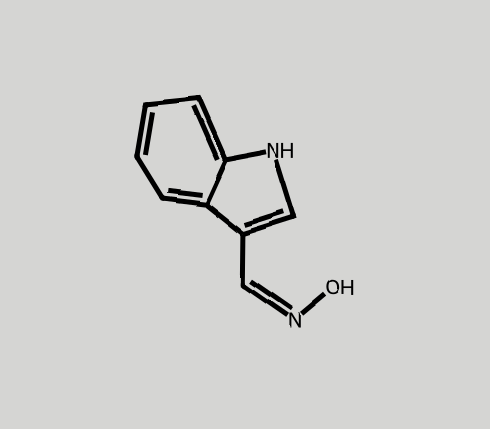 O/N=C\c1c[nH]c2ccccc12